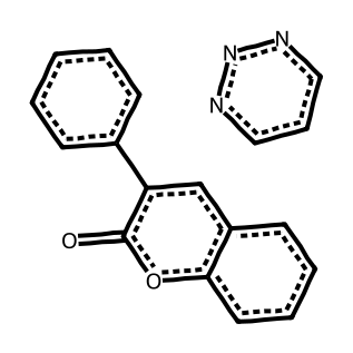 O=c1oc2ccccc2cc1-c1ccccc1.c1cnnnc1